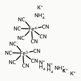 N#[C][Fe-3]([C]#N)([C]#N)([C]#N)([C]#N)[C]#N.N#[C][Fe-4]([C]#N)([C]#N)([C]#N)([C]#N)[C]#N.[K+].[K+].[K+].[NH4+].[NH4+].[NH4+].[NH4+]